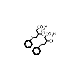 CC(CSc1ccccc1)CC(=O)O.CCC(CSc1ccccc1)CC(=O)O